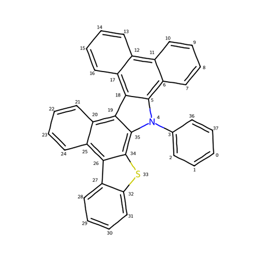 c1ccc(-n2c3c4ccccc4c4ccccc4c3c3c4ccccc4c4c5ccccc5sc4c32)cc1